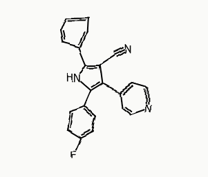 N#Cc1c(-c2ccccc2)[nH]c(-c2ccc(F)cc2)c1-c1ccncc1